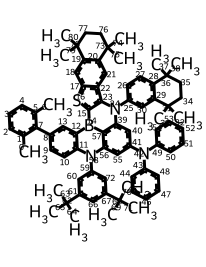 Cc1cccc(C)c1-c1ccc2c(c1)B1c3sc4cc5c(cc4c3N(c3ccc4c(c3)C(C)(C)CCC4(C)C)c3cc(N(c4ccccc4)c4ccccc4)cc(c31)N2c1cc(C(C)(C)C)cc(C(C)(C)C)c1)C(C)(C)CCC5(C)C